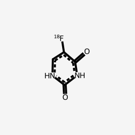 O=c1[nH]cc([18F])c(=O)[nH]1